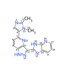 Cc1ncc(-c2ccc3[nH]nc(-c4nc5cccnc5[nH]4)c3n2)n1C